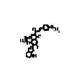 COc1ccc(/C=C/C(=O)c2cn(C3CC3)c3c(OC)c(N4CC5CCCNC5C4)c(F)cc3c2=O)cc1